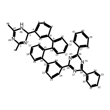 CC1=NC(c2cccc(-c3ccccc3-c3ccccc3-c3cccc(-c4nc(-c5ccccc5)nc(-c5ccccc5)n4)c3)c2)NC(C)=N1